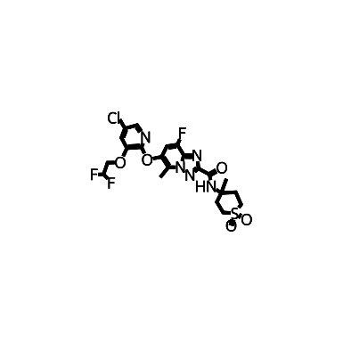 Cc1c(Oc2ncc(Cl)cc2OCC(F)F)cc(F)c2nc(C(=O)NC3(C)CCS(=O)(=O)CC3)nn12